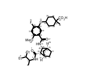 CCC(CC)C(C)NC(=O)[C@H]1[C@@H]2CC[C@@H](C2)[C@H]1NC(=O)c1cc(OC2CCC(C)(C(=O)O)CC2)c(F)cc1OC